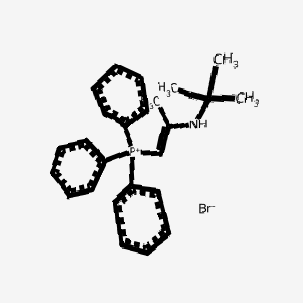 CC(=C[P+](c1ccccc1)(c1ccccc1)c1ccccc1)NC(C)(C)C.[Br-]